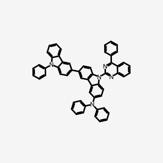 c1ccc(-c2nc(-n3c4ccc(-c5ccc6c(c5)c5ccccc5n6-c5ccccc5)cc4c4cc(N(c5ccccc5)c5ccccc5)ccc43)nc3ccccc23)cc1